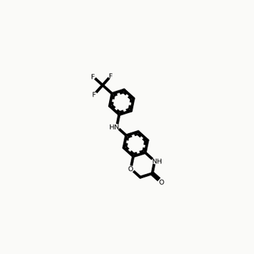 O=C1COc2cc(Nc3cccc(C(F)(F)F)c3)ccc2N1